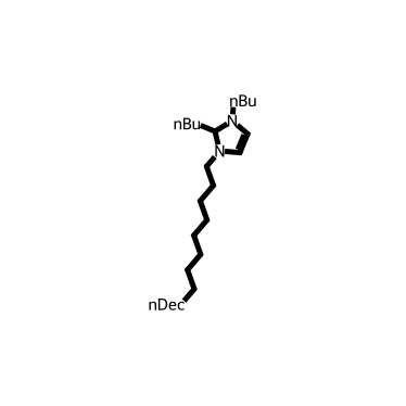 CCCCCCCCCCCCCCCCCCN1C=CN(CCCC)C1CCCC